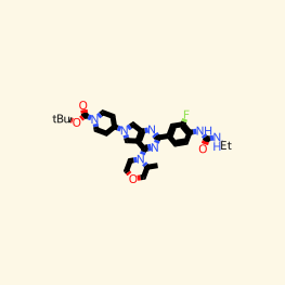 CCNC(=O)Nc1ccc(-c2nc3c(c(N4CCOCC4C)n2)CN(C2CCN(C(=O)OC(C)(C)C)CC2)C3)cc1F